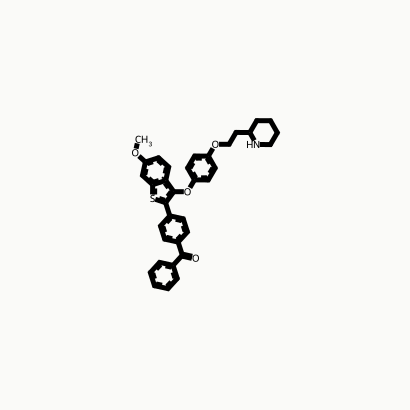 COc1ccc2c(Oc3ccc(OCCC4CCCCN4)cc3)c(-c3ccc(C(=O)c4ccccc4)cc3)sc2c1